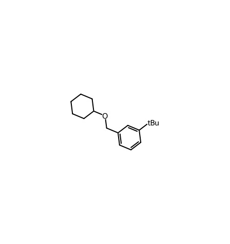 CC(C)(C)c1cccc(COC2CCCCC2)c1